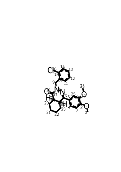 COc1ccc(C2=NN(Cc3ccccc3Cl)C(=O)[C@H]3CCCC[C@@H]23)cc1OC